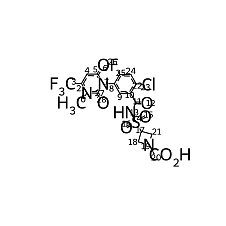 Cn1c(C(F)(F)F)cc(=O)n(-c2cc(C(=O)NS(=O)(=O)C3CN(C(=O)O)C3)c(Cl)cc2F)c1=O